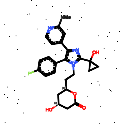 CNc1cc(-c2nc(C3(O)CC3)n(CC[C@@H]3C[C@@H](O)CC(=O)O3)c2-c2ccc(F)cc2)ccn1